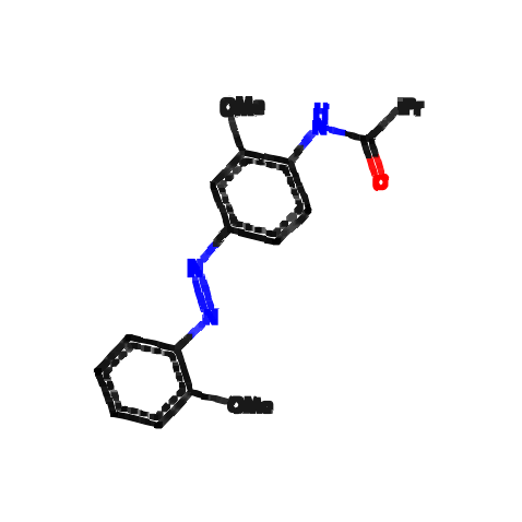 COc1ccccc1/N=N/c1ccc(NC(=O)C(C)C)c(OC)c1